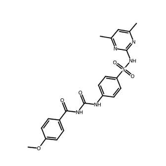 COc1ccc(C(=O)NC(=O)Nc2ccc(S(=O)(=O)Nc3nc(C)cc(C)n3)cc2)cc1